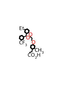 CCc1ccc(OCCCOc2ccc(CCC(=O)O)c(C)c2)c(C(=O)c2cccc(C(F)(F)F)c2)c1